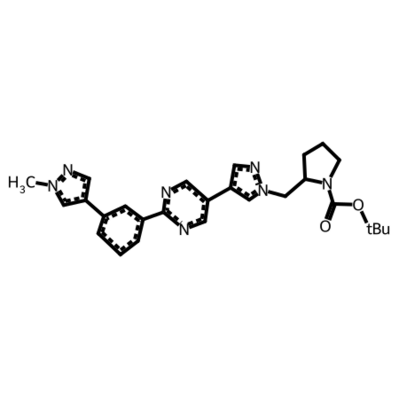 Cn1cc(-c2cccc(-c3ncc(-c4cnn(CC5CCCN5C(=O)OC(C)(C)C)c4)cn3)c2)cn1